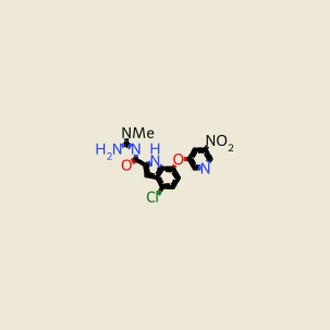 CNC(N)=NC(=O)c1cc2c(Cl)ccc(Oc3cncc([N+](=O)[O-])c3)c2[nH]1